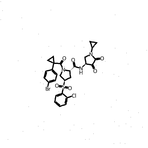 O=C1C(=O)N(C2CC2)C[C@@H]1NC(=O)[C@@H]1C[C@@H](S(=O)(=O)c2ccccc2Cl)CN1C(=O)C1(c2ccc(Br)cc2)CC1